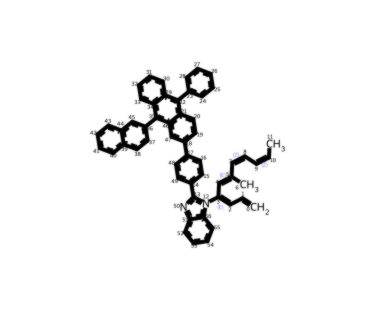 C=C\C=C(/C=C(C)/C=C\C=C/C)n1c(-c2ccc(-c3ccc4c(-c5ccccc5)c5ccccc5c(-c5ccc6ccccc6c5)c4c3)cc2)nc2ccccc21